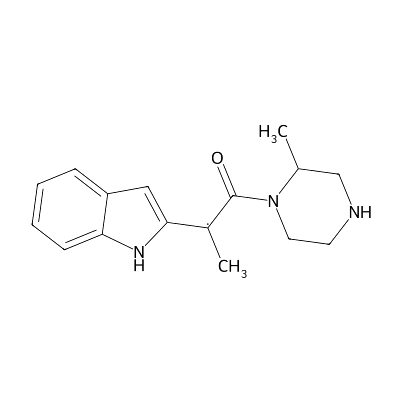 C[C](C(=O)N1CCNCC1C)c1cc2ccccc2[nH]1